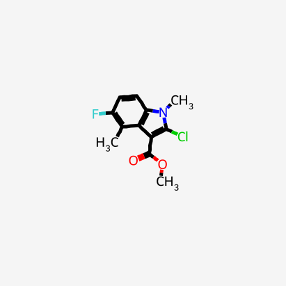 COC(=O)c1c(Cl)n(C)c2ccc(F)c(C)c12